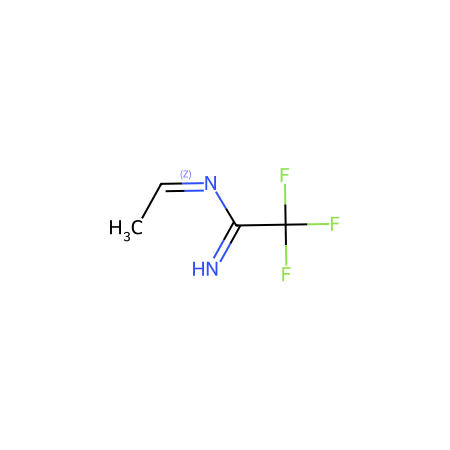 C/C=N\C(=N)C(F)(F)F